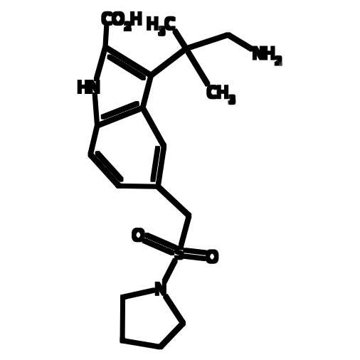 CC(C)(CN)c1c(C(=O)O)[nH]c2ccc(CS(=O)(=O)N3CCCC3)cc12